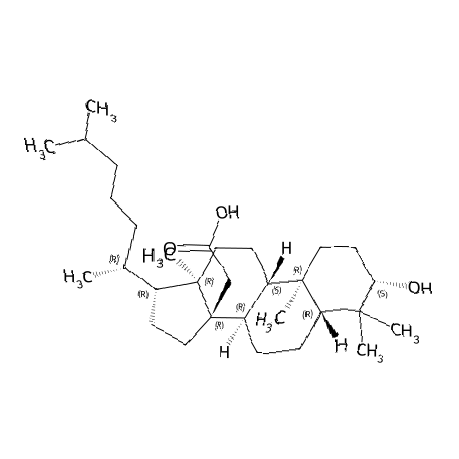 CC(C)CCC[C@@H](C)[C@H]1CC[C@@]2(CC(=O)O)[C@@H]3CC[C@H]4C(C)(C)[C@@H](O)CC[C@]4(C)[C@H]3CC[C@]12C